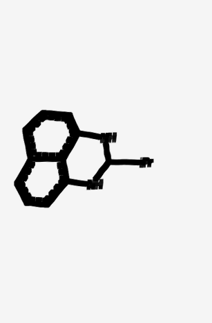 CC(C)C1Nc2cccc3cccc(c23)N1